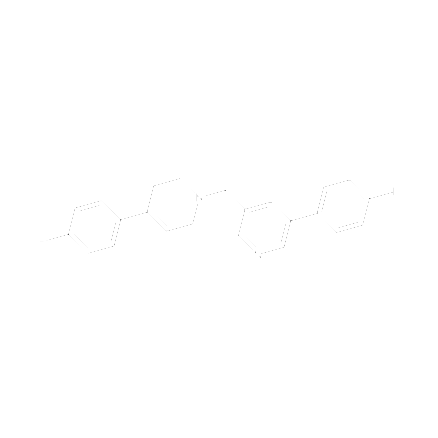 Fc1ccc(C2=CCN(Cc3cncc(-c4ccc(F)cc4)c3)CC2)cc1